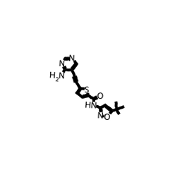 CC(C)(C)c1cc(NC(=O)c2ccc(C#Cc3cncnc3N)s2)no1